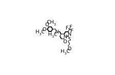 COCCCSc1nc(C(/C=C\C=O)=C/N(C)Cc2ccc(OC)c(OC)c2)cc(C(F)(F)F)n1